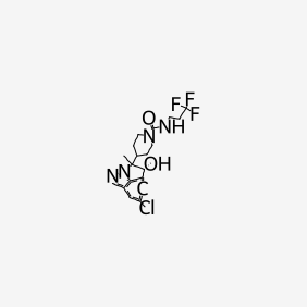 CC1(C2CCN(C(=O)NCCC(F)(F)F)CC2)[C@H](O)c2cc(Cl)cc3cnn1c23